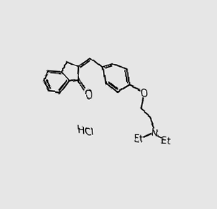 CCN(CC)CCOc1ccc(C=C2Cc3ccccc3C2=O)cc1.Cl